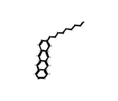 CCCCCCCCCc1ccc2cc3cc4ccccc4cc3cc2c1